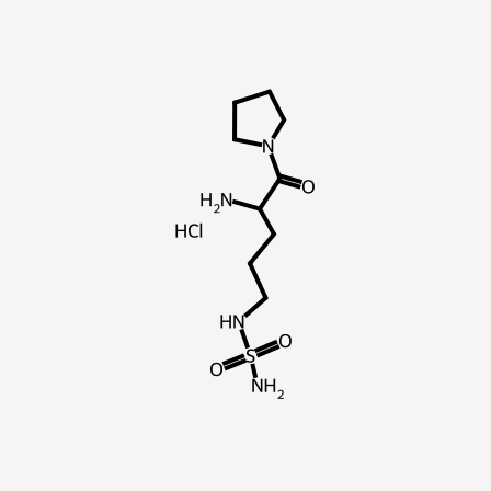 Cl.NC(CCCNS(N)(=O)=O)C(=O)N1CCCC1